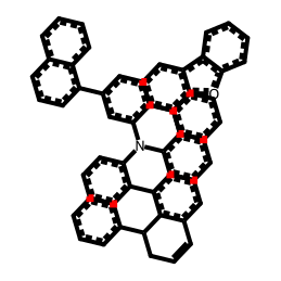 C1=Cc2cccc(-c3ccccc3N(c3cc(-c4cccc5ccccc45)ccc3-c3ccccc3)c3ccccc3-c3cccc4c3oc3ccccc34)c2C(c2ccccc2)C1